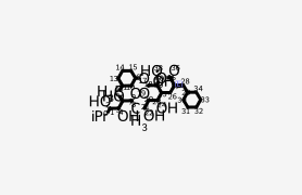 CC(C)C(O)C(O)C(O)C(C)OC1C(C)CCCC1OC1OC(CO)C(O)C(C/C(=C\C2CCCCC2)C(=O)OO)C1O